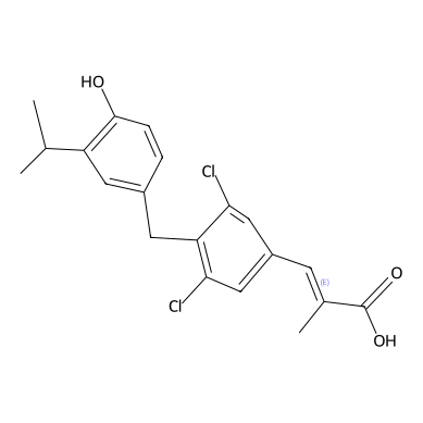 C/C(=C\c1cc(Cl)c(Cc2ccc(O)c(C(C)C)c2)c(Cl)c1)C(=O)O